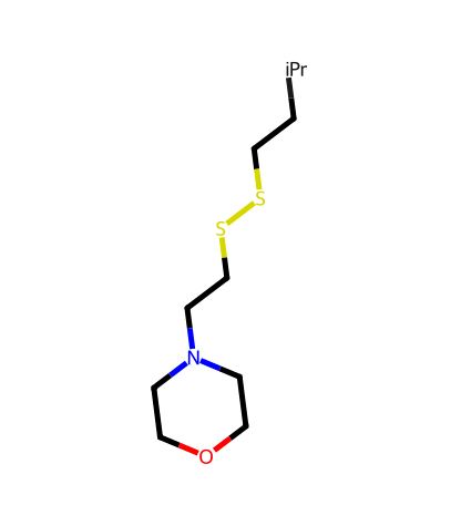 CC(C)CCSSCCN1CCOCC1